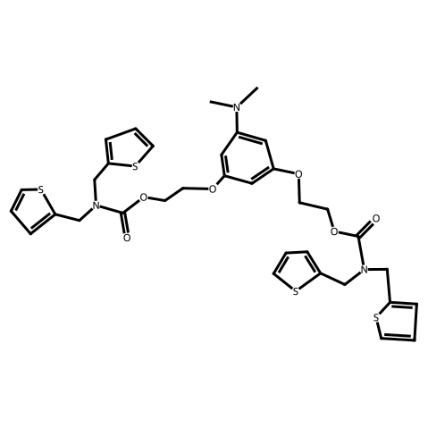 CN(C)c1cc(OCCOC(=O)N(Cc2cccs2)Cc2cccs2)cc(OCCOC(=O)N(Cc2cccs2)Cc2cccs2)c1